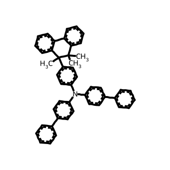 CC1(C)c2ccccc2-c2ccccc2C1(C)c1ccc(N(c2ccc(-c3ccccc3)cc2)c2ccc(-c3ccccc3)cc2)cc1